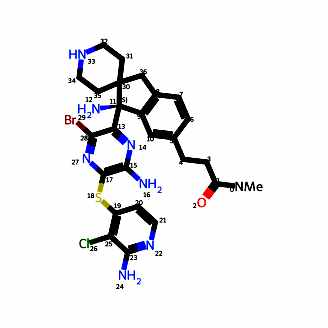 CNC(=O)CCc1ccc2c(c1)[C@](N)(c1nc(N)c(Sc3ccnc(N)c3Cl)nc1Br)C1(CCNCC1)C2